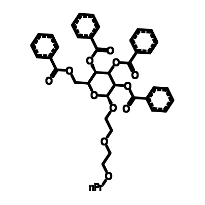 CCCOCCOCCO[C@H]1OC(COC(=O)c2ccccc2)[C@@H](OC(=O)c2ccccc2)C(OC(=O)c2ccccc2)C1OC(=O)c1ccccc1